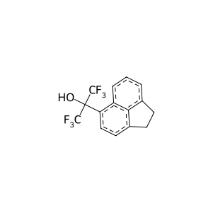 OC(c1ccc2c3c(cccc13)CC2)(C(F)(F)F)C(F)(F)F